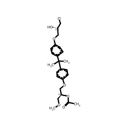 COC[C@@H](COc1ccc(C(C)(C)c2ccc(OC[C@H](O)CCl)cc2)cc1)OC(C)=O